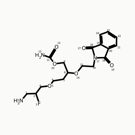 NCC(F)COCCC(COC(N)=O)OCCN1C(=O)c2ccccc2C1=O